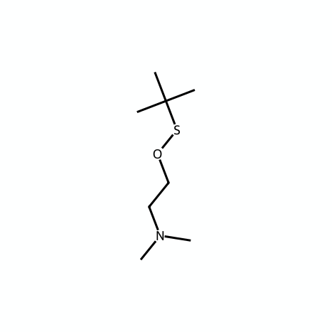 CN(C)CCOSC(C)(C)C